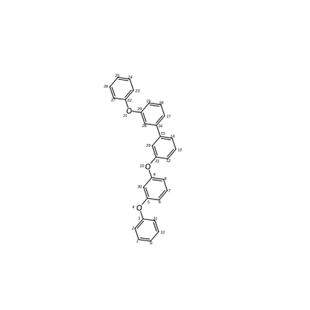 c1ccc(Oc2cccc(Oc3cccc(-c4cccc(Oc5ccccc5)c4)c3)c2)cc1